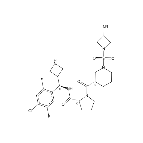 N#CC1CN(S(=O)(=O)N2CCC[C@H](C(=O)N3CCC[C@@H]3C(=O)N[C@@H](c3cc(F)c(Cl)cc3F)C3CNC3)C2)C1